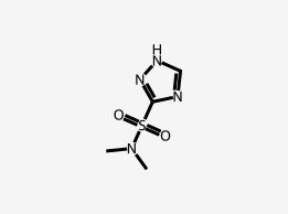 CN(C)S(=O)(=O)c1nc[nH]n1